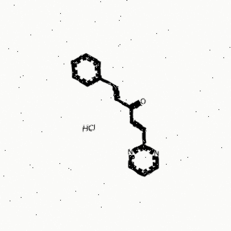 Cl.O=C(/C=C/c1ccccc1)/C=C/c1ncccn1